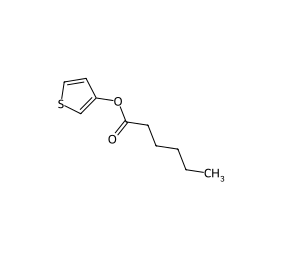 CCCCCC(=O)Oc1ccsc1